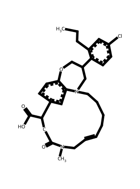 CCCc1cc(Cl)ccc1C1COc2ccc3cc2N(CCCC/C=C/CN(C)C(=O)CC3C(=O)O)C1